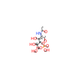 CC(=O)N[C@@H](C=O)[C@@H](O)[C@H](OP(=O)(O)O)[C@H](O)CO